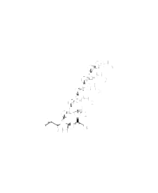 CCC[SiH](O[SiH2]O[SiH2]O[SiH2]O[SiH2]O[SiH3])OC(C)=O